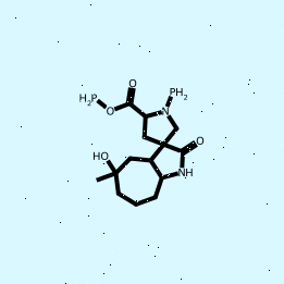 CC1(O)CCCC2NC(=O)C3(CC(C(=O)OP)N(P)C3)C2C1